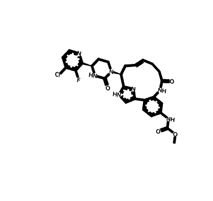 COC(=O)Nc1ccc2c(c1)NC(=O)CC/C=C/C[C@H](N1CC[C@H](c3nccc(Cl)c3F)NC1=O)c1nc-2c[nH]1